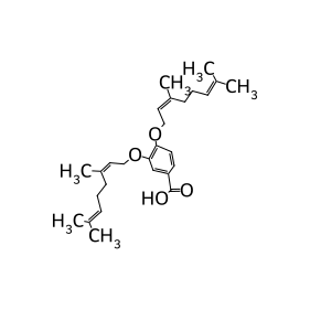 CC(C)=CCCC(C)=CCOc1ccc(C(=O)O)cc1OCC=C(C)CCC=C(C)C